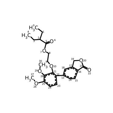 CCC(CC)C(=O)OCCOc1c(-c2ccc3c(c2)COC3=O)ccc(OC)c1OC